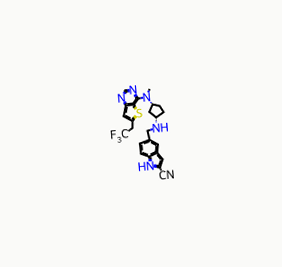 CN(c1ncnc2cc(CC(F)(F)F)sc12)[C@@H]1CC[C@H](NCc2ccc3[nH]c(C#N)cc3c2)C1